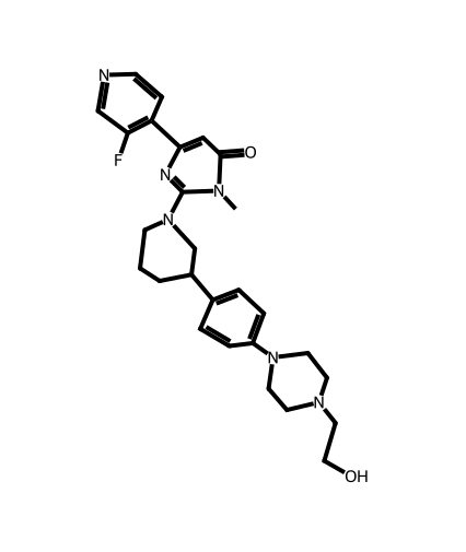 Cn1c(N2CCCC(c3ccc(N4CCN(CCO)CC4)cc3)C2)nc(-c2ccncc2F)cc1=O